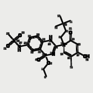 CCOP1(=O)N=C([N+]2(CCC(C)(C)C)C=C(I)C(O)=CC2=O)Nc2ccc(NS(C)(=O)=O)cc21